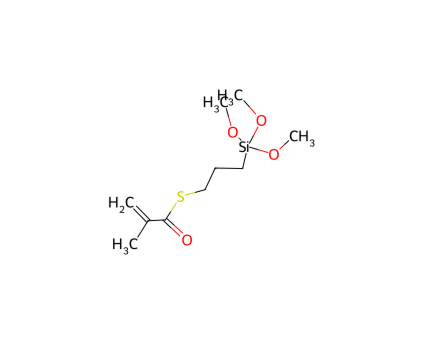 C=C(C)C(=O)SCCC[Si](OC)(OC)OC